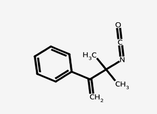 C=C(c1ccccc1)C(C)(C)N=C=O